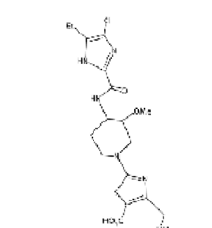 CCc1[nH]c(C(=O)NC2CCN(c3nc(CO)c(C(=O)O)s3)CC2OC)nc1Cl